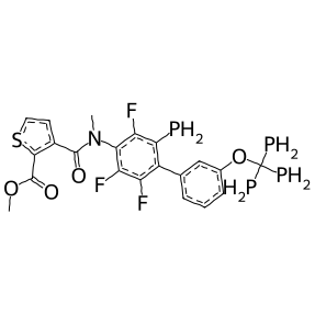 COC(=O)c1sccc1C(=O)N(C)c1c(F)c(F)c(-c2cccc(OC(P)(P)P)c2)c(P)c1F